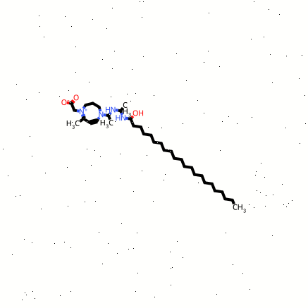 CCCCCCCCCCCCCCCCCCCCCC(O)NC(C)NC(C)N1C#CC(C)=[N+](CC(=O)[O-])CCC1